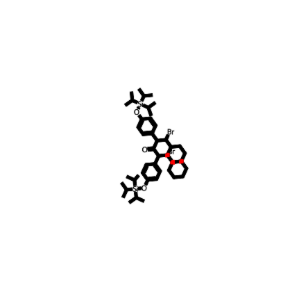 CC(C)[Si](Oc1ccc(C(C(=O)C(c2ccc(O[Si](C(C)C)(C(C)C)C(C)C)cc2)C(Br)C2CCCCC2)C(Br)C2CCCCC2)cc1)(C(C)C)C(C)C